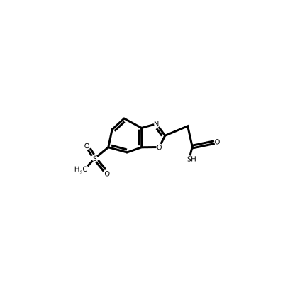 CS(=O)(=O)c1ccc2nc(CC(=O)S)oc2c1